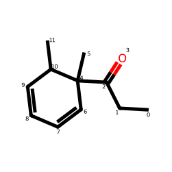 CCC(=O)C1(C)C=CC=CC1C